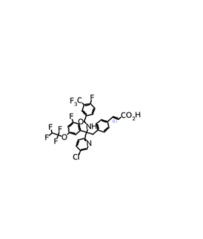 O=C(O)/C=C/c1ccc(CC(NC(=O)c2ccc(F)c(C(F)(F)F)c2)(c2cc(F)cc(OC(F)(F)C(F)F)c2)c2ccc(Cl)cn2)cc1